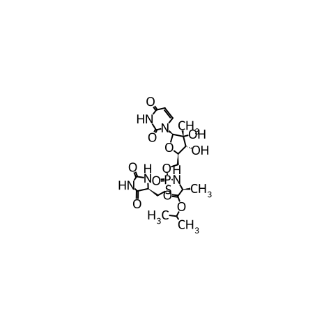 CC(C)OC(=O)[C@H](C)N[P@](=O)(OC[C@H]1O[C@@H](n2ccc(=O)[nH]c2=O)[C@](C)(O)[C@@H]1O)SC[C@@H]1NC(=O)NC1=O